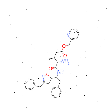 CC(CC(=O)OCc1ccccn1)[C@H](N)C(=O)NC(Cc1ccccc1)C1CC(Cc2ccccc2)=NO1